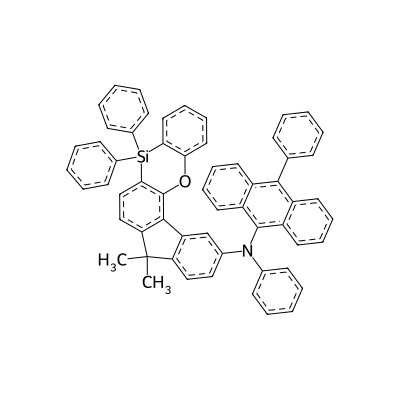 CC1(C)c2ccc(N(c3ccccc3)c3c4ccccc4c(-c4ccccc4)c4ccccc34)cc2-c2c1ccc1c2Oc2ccccc2[Si]1(c1ccccc1)c1ccccc1